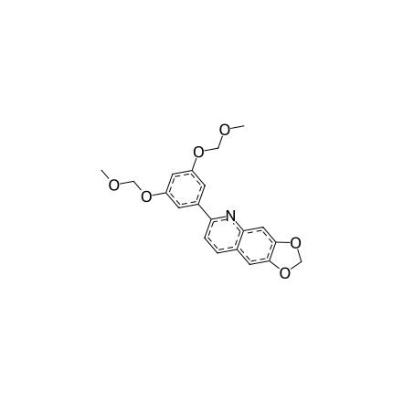 COCOc1cc(OCOC)cc(-c2ccc3cc4c(cc3n2)OCO4)c1